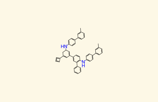 Cc1cccc(-c2ccc(Nc3ccc(C4=CC(Nc5ccc(-c6cccc(C)c6)cc5)CC(C5=C=C=C5)=C4)cc3-c3ccccc3)cc2)c1